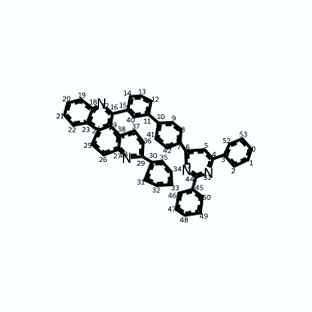 c1ccc(-c2cc(-c3ccc(-c4cccc(-c5nc6ccccc6c6ccc7nc(-c8ccccc8)ccc7c56)c4)cc3)nc(-c3ccccc3)n2)cc1